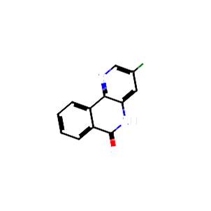 O=c1[nH]c2cc(Cl)cnc2c2ccccc12